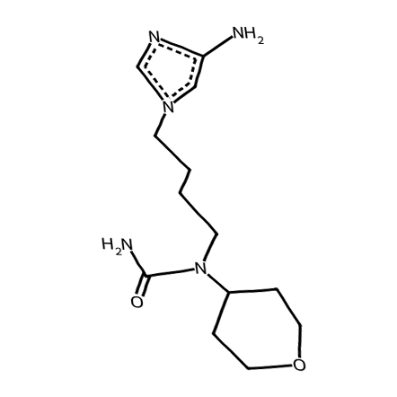 NC(=O)N(CCCCn1cnc(N)c1)C1CCOCC1